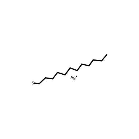 CCCCCCCCCCCC[S-].[Ag+]